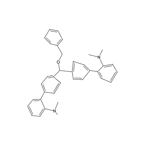 CN(C)c1ccccc1-c1ccc(C(OCc2ccccc2)c2ccc(-c3ccccc3N(C)C)cc2)cc1